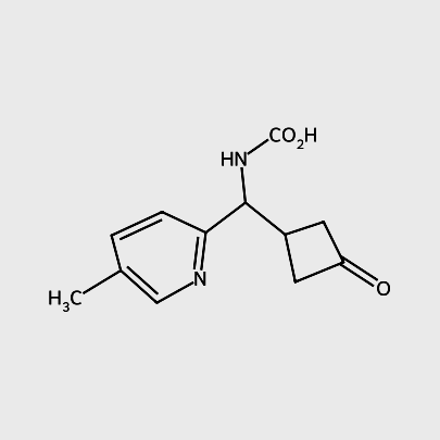 Cc1ccc(C(NC(=O)O)C2CC(=O)C2)nc1